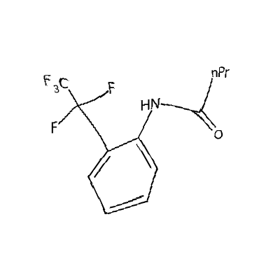 [CH2]CCC(=O)Nc1ccccc1C(F)(F)C(F)(F)F